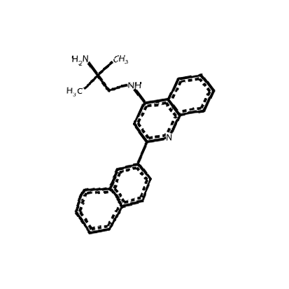 CC(C)(N)CNc1cc(-c2ccc3ccccc3c2)nc2ccccc12